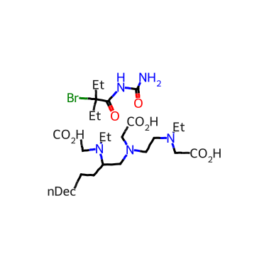 CCC(Br)(CC)C(=O)NC(N)=O.CCCCCCCCCCCCC(CN(CCN(CC)CC(=O)O)CC(=O)O)N(CC)CC(=O)O